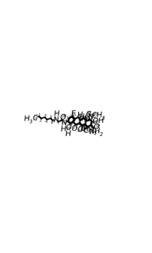 CCCCCCCNCC(=O)Nc1cc(F)c2c(c1O)C(=O)C1=C(O)[C@]3(OC)CC(C(N)=O)=C(O)[C@@H](N(C)C)[C@@H]3C[C@@H]1C2